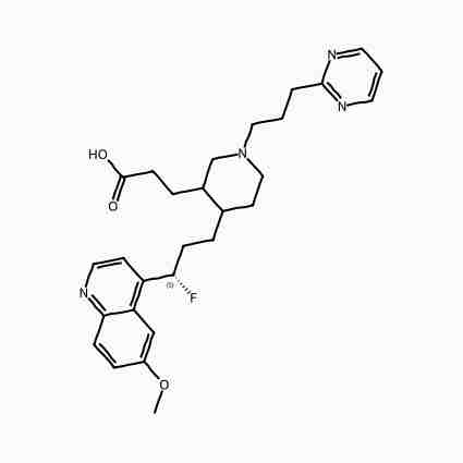 COc1ccc2nccc([C@@H](F)CCC3CCN(CCCc4ncccn4)CC3CCC(=O)O)c2c1